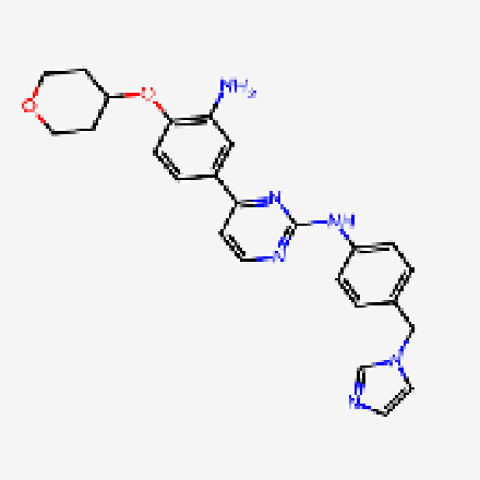 Nc1cc(-c2ccnc(Nc3ccc(Cn4ccnc4)cc3)n2)ccc1OC1CCOCC1